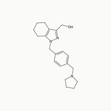 OCc1nn(Cc2ccc(CN3CCCC3)cc2)c2c1CCCC2